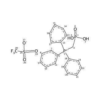 O=P(O)(O)C[P+](c1ccccc1)(c1ccccc1)c1ccccc1.O=S(=O)([O-])C(F)(F)F